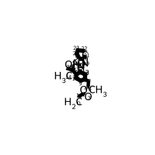 C=CC(=O)OC(C)Cc1ccc(C(C)(C)CO)c(-n2nc3ccccc3n2)c1